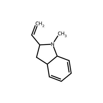 C=CC1CC2C=CC=CC2N1C